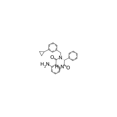 NC(=O)[C@@H](c1ccccc1)N(Cc1cccc(C2CC2)c1)C(=O)c1ccccc1N